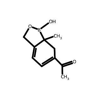 CC(=O)C1=CC=C2COB(O)C2(C)C1